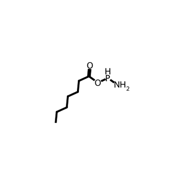 CCCCCCC(=O)OPN